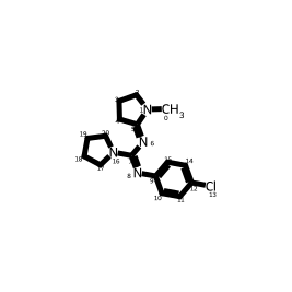 CN1CCCC1=NC(=Nc1ccc(Cl)cc1)N1CCCC1